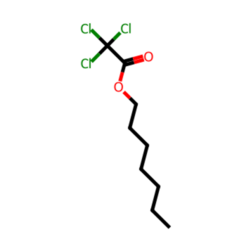 CCCCCCCOC(=O)C(Cl)(Cl)Cl